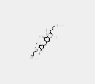 CCCCCCCCCCCCCC(=O)Nc1c(C)cc(Cc2cc(C)c(NC(=O)CCCCCCCCCCCCC)c(CC)c2)cc1CC